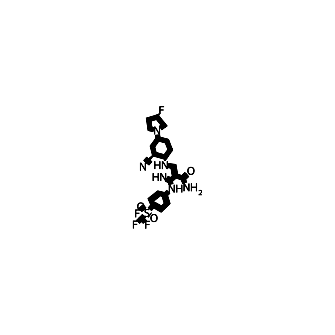 N#C[C@H]1CC(N2CC[C@H](F)C2)CC[C@@H]1N/C=C(\C(=N)Nc1ccc(S(=O)(=O)C(F)(F)F)cc1)C(N)=O